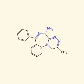 CC1=NN=C2[C@@H](N)N=C(c3ccccc3)c3ccccc3N2C1